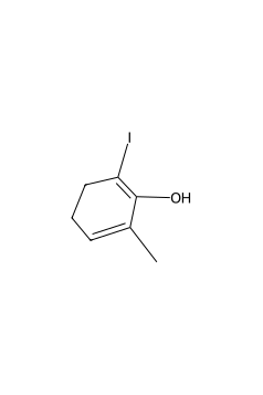 CC1=CCCC(I)=C1O